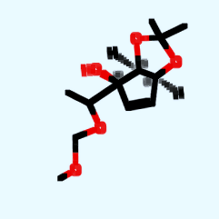 COCOC(C)[C@@]1(O)C=C[C@@H]2OC(C)(C)O[C@@H]21